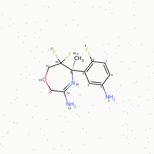 C[C@]1(c2cc(N)ccc2F)N=C(N)COCC1(F)F